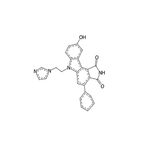 O=C1NC(=O)c2c1c(-c1ccccc1)cc1c2c2cc(O)ccc2n1CCn1ccnc1